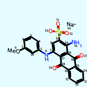 COc1cccc(Nc2cc(S(=O)(=O)[O-])c(N)c3c2C(=O)c2ccccc2C3=O)c1.[Na+]